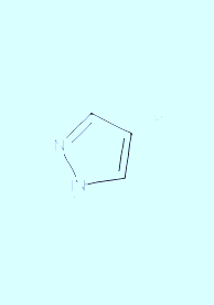 [Pt].c1cn[nH]c1